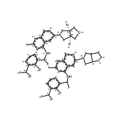 Cc1nc(NC(C)c2cccc(C(F)F)c2F)c2cc(N3CC4CCOC4C3)ncc2n1.Cc1nc(NC(C)c2cccc(C(F)F)c2F)c2cc(N3C[C@H]4COC[C@H]4C3)ncc2n1